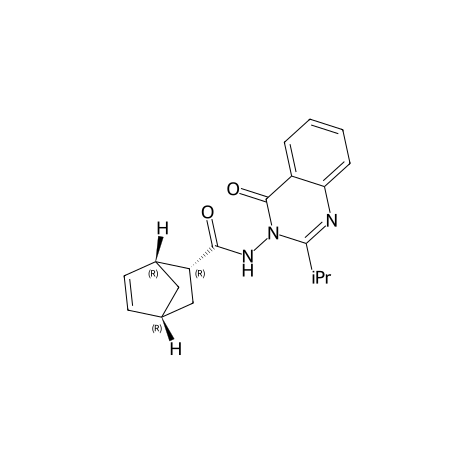 CC(C)c1nc2ccccc2c(=O)n1NC(=O)[C@@H]1C[C@@H]2C=C[C@H]1C2